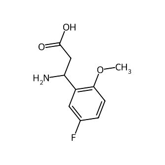 COc1ccc(F)cc1C(N)CC(=O)O